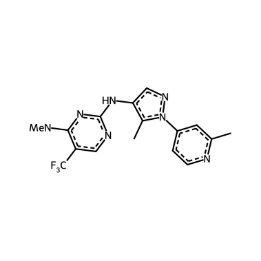 CNc1nc(Nc2cnn(-c3ccnc(C)c3)c2C)ncc1C(F)(F)F